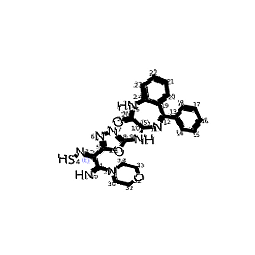 N=C(/C(=N\S)c1nnc(N[C@H]2N=C(c3ccccc3)c3ccccc3NC2=O)o1)N1CCOCC1